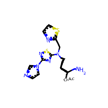 CC(=O)OC(N)CCN(Cc1nccs1)c1nc(-n2ccnc2)ns1